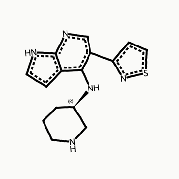 c1cc2c(N[C@@H]3CCCNC3)c(-c3ccsn3)cnc2[nH]1